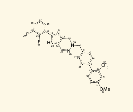 COc1ccc(-c2ccc(CN3Cc4nc(-c5cccc(F)c5F)[nH]c4C=N3)nn2)c(C(F)(F)F)c1